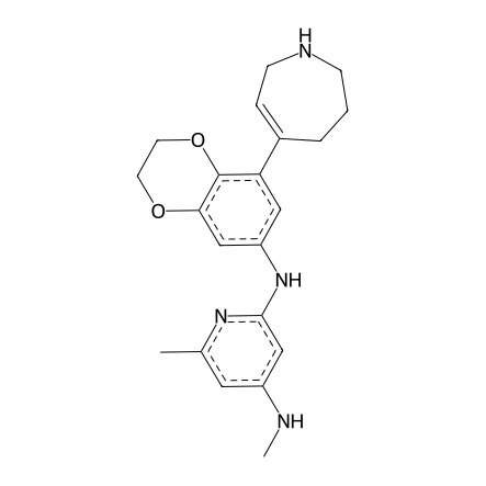 CNc1cc(C)nc(Nc2cc3c(c(C4=CCNCCC4)c2)OCCO3)c1